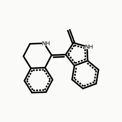 C=c1[nH]c2ccccc2/c1=C1/NCCc2ccccc21